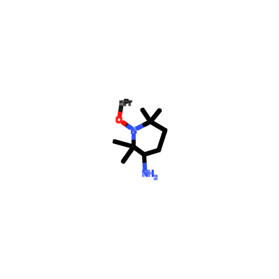 CCCON1C(C)(C)CCC(N)C1(C)C